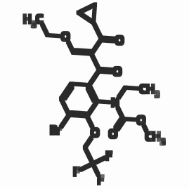 CCOC=C(C(=O)c1ccc(Br)c(OCC(F)(F)F)c1N(CC)C(=O)OC)C(=O)C1CC1